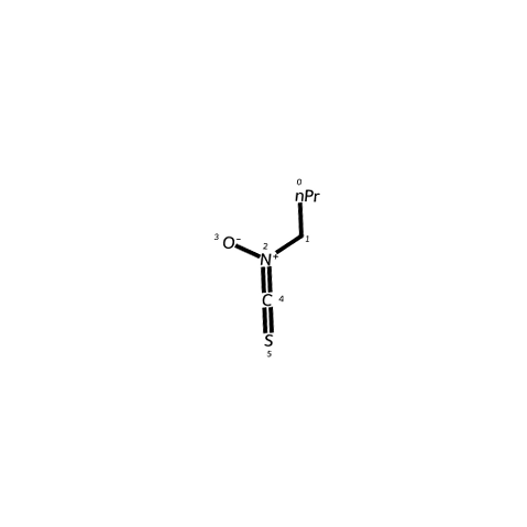 CCCC[N+]([O-])=C=S